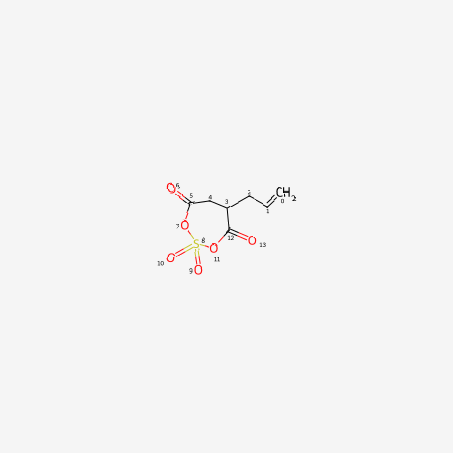 C=CCC1CC(=O)OS(=O)(=O)OC1=O